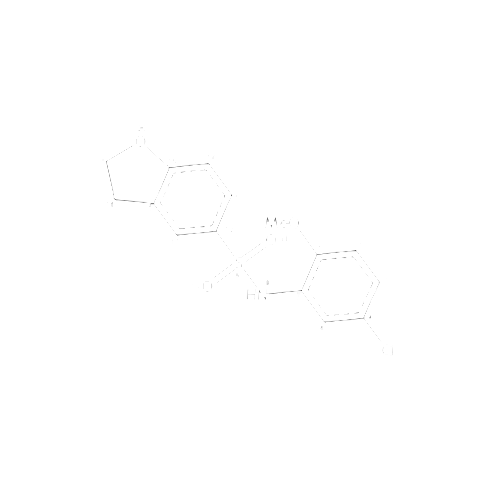 COc1ccc(Cl)cc1NS(=O)(=O)c1ccc2c(c1)CCO2